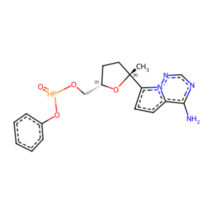 C[C@]1(c2ccc3c(N)ncnn23)CC[C@@H](CO[PH](=O)Oc2ccccc2)O1